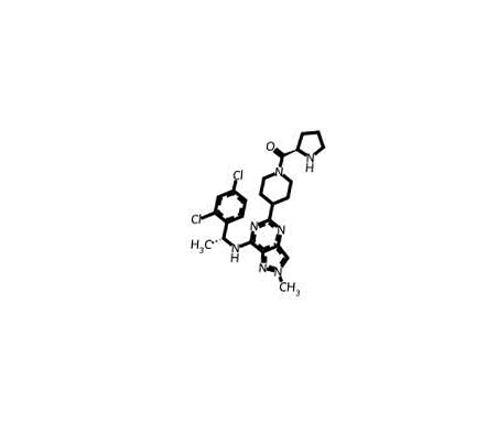 C[C@@H](Nc1nc(C2CCN(C(=O)[C@H]3CCCN3)CC2)nc2cn(C)nc12)c1ccc(Cl)cc1Cl